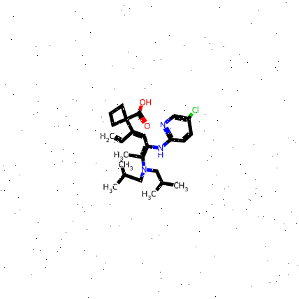 C=C/C(=C\C(Nc1ccc(Cl)cn1)=C(/C)N(CC(C)C)CC(C)C)C1(C(=O)O)CCC1